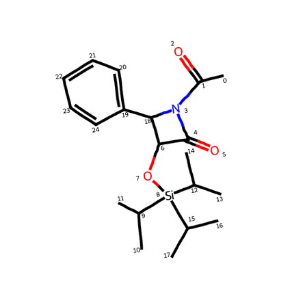 CC(=O)N1C(=O)C(O[Si](C(C)C)(C(C)C)C(C)C)C1c1ccccc1